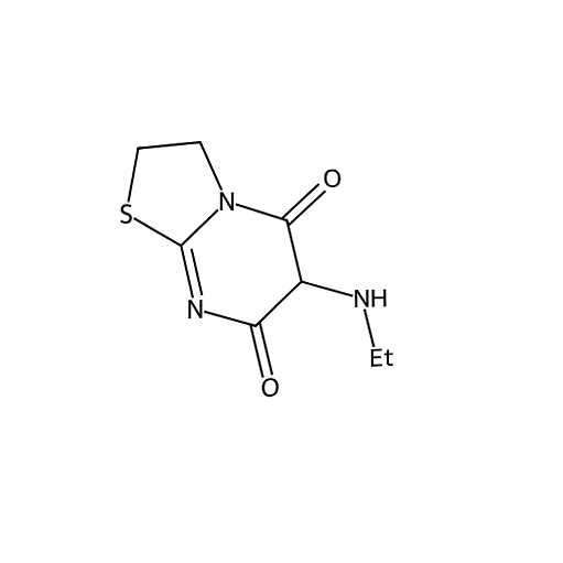 CCNC1C(=O)N=C2SCCN2C1=O